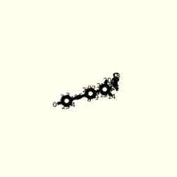 Cc1ccc(C#Cc2ccc(-c3cc(C)c(N=C=S)c(C)c3)cc2)cc1